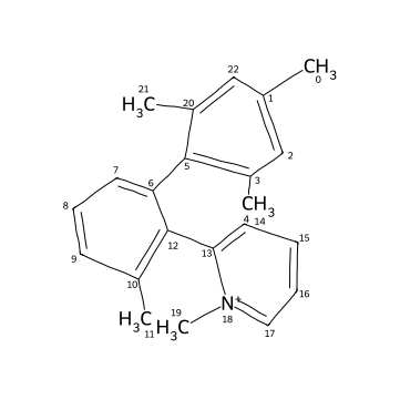 Cc1cc(C)c(-c2cccc(C)c2-c2cccc[n+]2C)c(C)c1